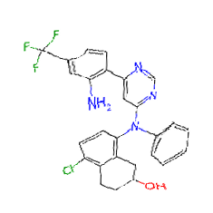 Nc1cc(C(F)(F)F)ccc1-c1cc(N(c2ccccc2)c2ccc(Cl)c3c2CC(O)CC3)ncn1